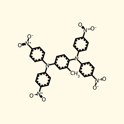 Cc1cc(N(c2ccc([N+](=O)[O-])cc2)c2ccc([N+](=O)[O-])cc2)ccc1N(c1ccc([N+](=O)[O-])cc1)c1ccc([N+](=O)[O-])cc1